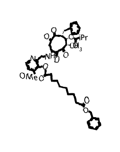 COc1ccnc(CN[C@H]2CC(=O)C(=O)[C@H](Cc3ccccc3)[C@H](OC(=O)C(C)C)[C@H](C)C(=O)C2=O)c1OC(=O)CCCCCCCCC(=O)OCc1ccccc1